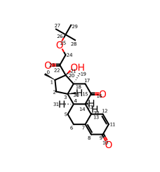 C[C@@H]1C[C@H]2[C@@H]3CCC4=CC(=O)C=C[C@@H]4[C@H]3C(=O)C[C@]2(C)[C@@]1(O)C(=O)COC(C)(C)C